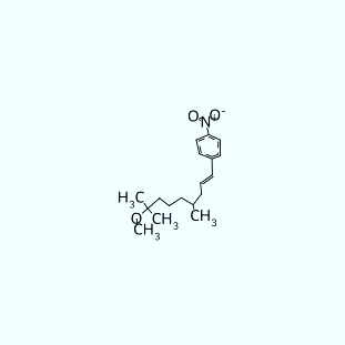 COC(C)(C)CCCC(C)CC=Cc1ccc([N+](=O)[O-])cc1